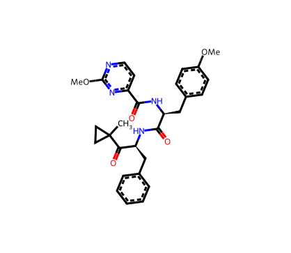 COc1ccc(C[C@H](NC(=O)c2ccnc(OC)n2)C(=O)N[C@@H](Cc2ccccc2)C(=O)C2(C)CC2)cc1